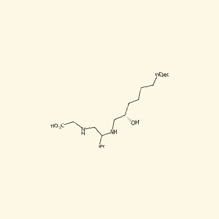 CCCCCCCCCCCCCC[C@H](O)CNC(CNCC(=O)O)C(C)C